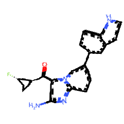 Nc1nc2ccc(-c3ccc4[nH]ccc4c3)cn2c1C(=O)[C@H]1C[C@@H]1F